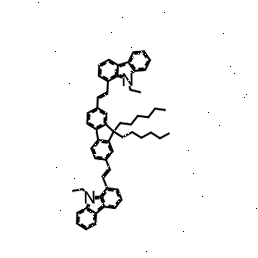 CCCCCCC1(CCCCCC)c2cc(C=Cc3cccc4c5ccccc5n(CC)c34)ccc2-c2ccc(C=Cc3cccc4c5ccccc5n(CC)c34)cc21